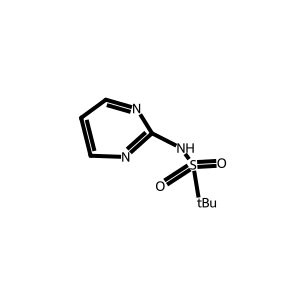 CC(C)(C)S(=O)(=O)Nc1ncccn1